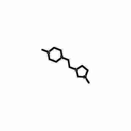 CN1CCN(CCN2CCN(C)C2)CC1